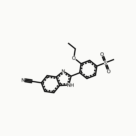 CCOc1cc(S(C)(=O)=O)ccc1-c1nc2cc(C#N)ccc2[nH]1